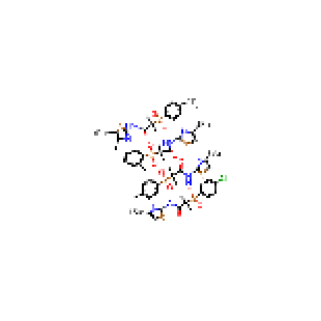 CC(C)(C)c1csc(NC(=O)C(C)(C)S(=O)(=O)c2ccc(Cl)cc2)n1.Cc1ccc(S(=O)(=O)C(C)(C)C(=O)Nc2nc(C(C)(C)C)cs2)cc1.Cc1ccccc1S(=O)(=O)C(C)(C)C(=O)Nc1nc(C(C)(C)C)cs1.Cc1nc(NC(=O)C(C)(C)S(=O)(=O)c2ccc(C(F)(F)F)cc2)sc1C(C)(C)C